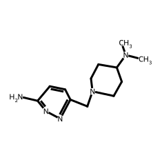 CN(C)C1CCN(Cc2ccc(N)nn2)CC1